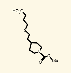 CC(C)(C)OC(=O)N1CCC(CCSCCCC(=O)O)CC1